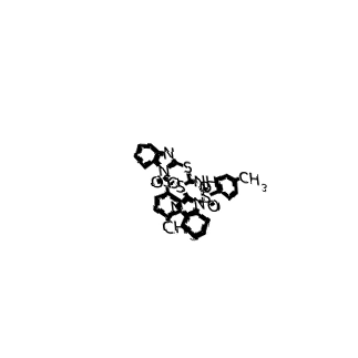 Cc1ccc(S(=O)(=O)n2c(SC(=N)Sc3nc4ccccc4n3S(=O)(=O)c3ccc(C)cc3)nc3ccccc32)cc1